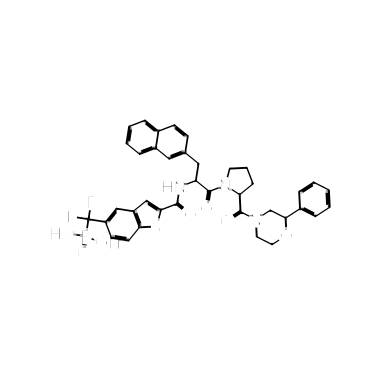 O=C(NC(Cc1ccc2ccccc2c1)C(=O)N1CCCC1C(=O)N1CCOC(c2ccccc2)C1)c1cc2cc(C(F)(F)P(=O)(O)O)ccc2s1